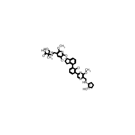 COc1nc(O[C@H]2CCc3c(-c4cccc(-c5cnc(CN[C@@H]6CCC[C@@H]6O)c(OC)n5)c4Cl)cccc32)c(Cl)cc1CNC(C)(CO)C(=O)O